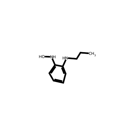 CCCNc1ccccc1NO